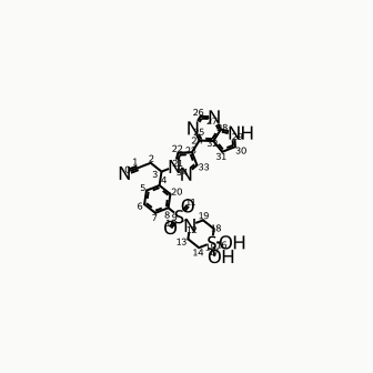 N#CCC(c1cccc(S(=O)(=O)N2CCS(O)(O)CC2)c1)n1cc(-c2ncnc3[nH]ccc23)cn1